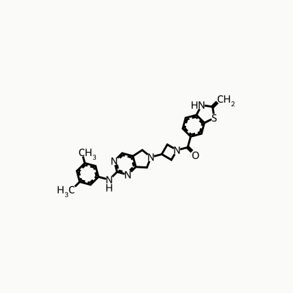 C=C1Nc2ccc(C(=O)N3CC(N4Cc5cnc(Nc6cc(C)cc(C)c6)nc5C4)C3)cc2S1